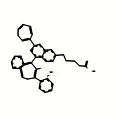 COC(=O)CCCCc1ccc2c(C3=c4ccccc4=CCC(c4ccccc4)=C3OP(O)O)cc(C3=CCC=CC=C3)cc2c1